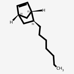 CCCCCCC[C@H]1C[C@@H]2C=C[C@H]1C2